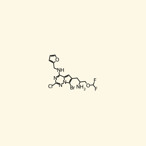 NC(COC(F)F)Cc1cc2c(NCc3ccco3)nc(Cl)nn2c1Br